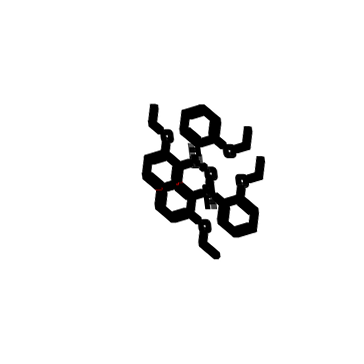 CCOc1ccccc1[SiH](O[SiH](c1ccccc1OCC)c1ccccc1OCC)c1ccccc1OCC